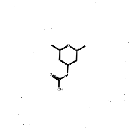 CC1CC(CC(=O)O)CC(C)O1